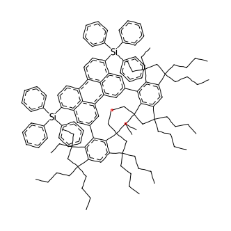 CCCCC1(CCCC)CC(CC)(CC)c2c1cc1c(c2-c2cc3c([Si](c4ccccc4)(c4ccccc4)c4ccccc4)ccc4c5ccc([Si](c6ccccc6)(c6ccccc6)c6ccccc6)c6cc(-c7c8c(cc9c7C(CC)(CC)CC9(CCCC)CCCC)C(CCCC)(CCCC)CC8(CC)CC)cc(c(c2)c34)c65)C(CC)(CC)CC1(CCCC)CCCC